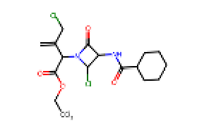 C=C(CCl)C(C(=O)OCC(Cl)(Cl)Cl)N1C(=O)C(NC(=O)C2CCCCC2)C1Cl